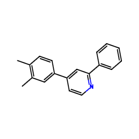 Cc1ccc(-c2ccnc(-c3ccccc3)c2)cc1C